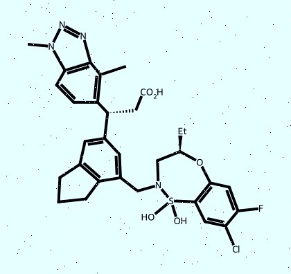 CC[C@@H]1CN(Cc2cc([C@@H](CC(=O)O)c3ccc4c(nnn4C)c3C)cc3c2CCC3)S(O)(O)c2cc(Cl)c(F)cc2O1